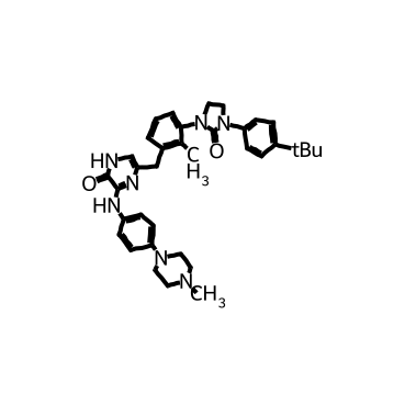 Cc1c(Cc2c[nH]c(=O)c(Nc3ccc(N4CCN(C)CC4)cc3)n2)cccc1N1CCN(c2ccc(C(C)(C)C)cc2)C1=O